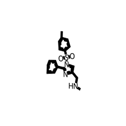 CNCc1cn(S(=O)(=O)c2ccc(C)cc2)c(-c2ccccc2)n1